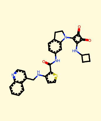 O=C(Nc1ccc2c(c1)N(c1c(NC3CCC3)c(=O)c1=O)CC2)c1sccc1NCc1ccnc2ccccc12